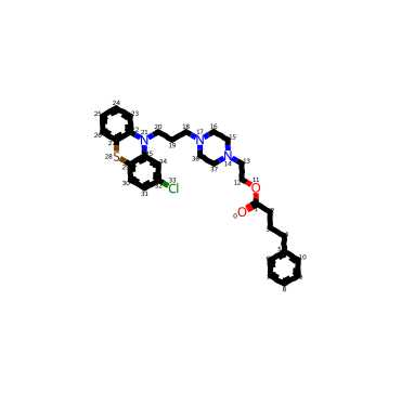 O=C(CCCc1ccccc1)OCCN1CCN(CCCN2c3ccccc3Sc3ccc(Cl)cc32)CC1